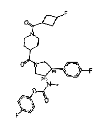 CN(C(=O)Oc1ccc(F)cc1)[C@@H]1CN(C(=O)C2CCN(C(=O)C3CC(F)C3)CC2)C[C@H]1c1ccc(F)cc1